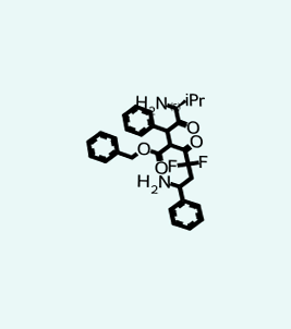 CC(C)[C@H](N)C(=O)C(c1ccccc1)C(C(=O)OCc1ccccc1)C(=O)C(F)(F)CC(N)c1ccccc1